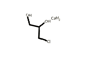 OCC(O)CCl.[CaH2]